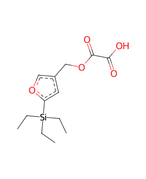 CC[Si](CC)(CC)c1cc(COC(=O)C(=O)O)co1